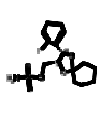 NS(=O)(=O)OC[C@@H]1OC2(CCCCC2)O[C@H]1c1ccccc1F